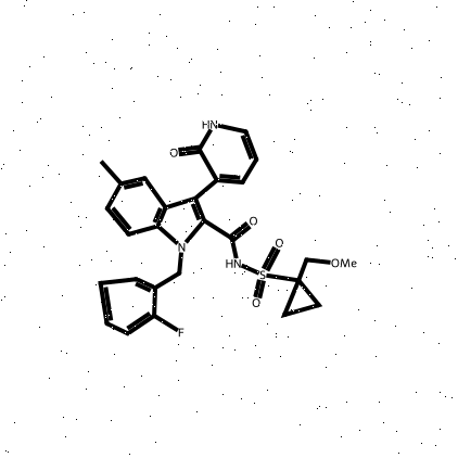 COCC1(S(=O)(=O)NC(=O)c2c(-c3ccc[nH]c3=O)c3cc(C)ccc3n2Cc2ccccc2F)CC1